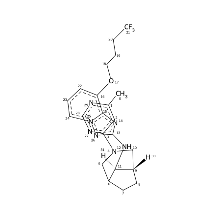 Cc1cc(N2CC3CC[C@@H](C2)[C@@H]3Nc2nc3c(OCCCC(F)(F)F)cccn3n2)ncn1